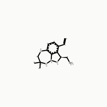 C=Cc1ccc2c3c1[C@@H](CN)OB3OC(C)(C)CO2